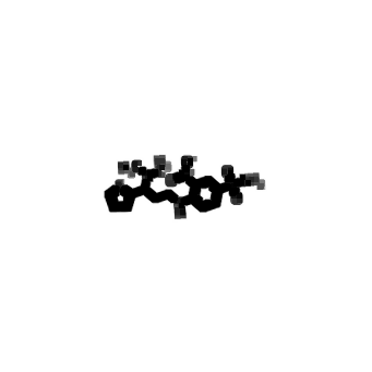 CN(C)C(CCNc1ccc(S(N)(=O)=O)cc1[N+](=O)[O-])c1cccs1